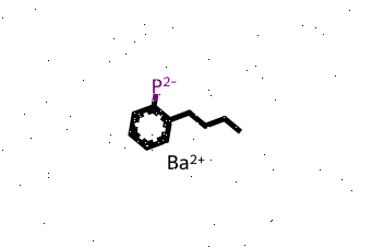 CCCCc1ccccc1[P-2].[Ba+2]